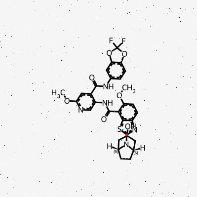 COc1cc(C(=O)Nc2ccc3c(c2)OC(F)(F)O3)c(NC(=O)c2c(OC)ccc3nc(N4[C@@H]5CC[C@H]4CC(O)C5)sc23)cn1